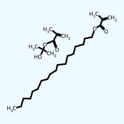 C=C(C)C(=O)OC(C)(C)O.C=C(C)C(=O)OCCCCCCCCCCCCCCCCCC